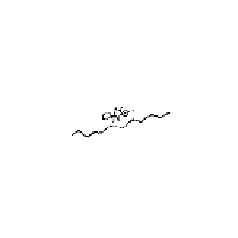 CCCCCCCCCCCC.O=[NH+][O-]